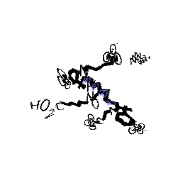 CC1(C)C(/C=C/C=C(/C=C/C=C2/N(CCCCS(=O)(=O)[O-])c3ccc(S(=O)(=O)[O-])cc3C2(C)C)C(=O)NCCCCCCC(=O)O)=[N+](CCCCS(=O)(=O)[O-])c2ccc(S(=O)(=O)[O-])cc21.[Na+].[Na+].[Na+]